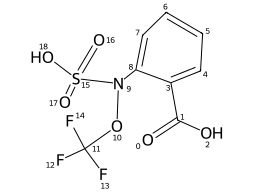 O=C(O)c1ccccc1N(OC(F)(F)F)S(=O)(=O)O